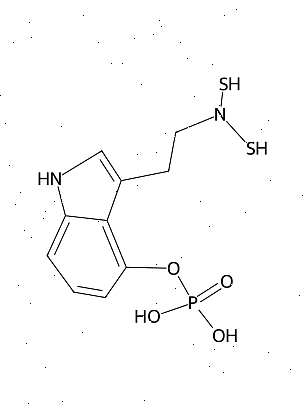 O=P(O)(O)Oc1cccc2[nH]cc(CCN(S)S)c12